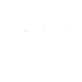 COC1=CC2=CN(Nc3ccc(C(F)(F)F)cc3)N=NC2C=C1OCCCN1CCCCC1.Cl